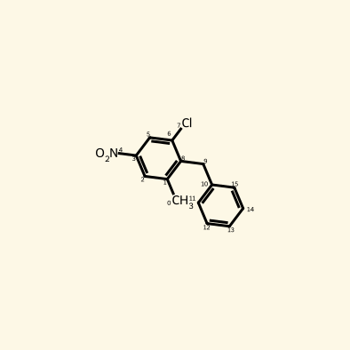 Cc1cc([N+](=O)[O-])cc(Cl)c1Cc1ccccc1